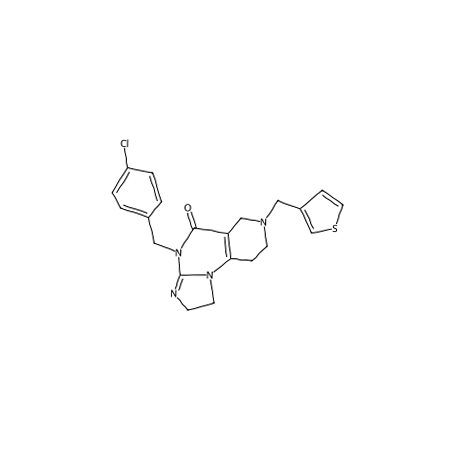 O=C1C2=C(CCN(Cc3ccsc3)C2)N2CCN=C2N1Cc1ccc(Cl)cc1